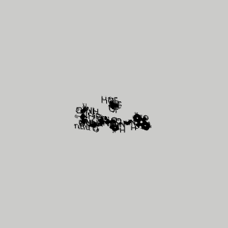 CCCC[C@H](NC(=O)[C@H](C)NC(=O)[C@H](C)N)C(=O)NCC(=O)N[C@@H](CC(C)C)C(=O)N1CCC[C@H]1C(=O)NCCCNc1cccc2c1C(=O)c1ccccc1C2=O.O=C(O)C(F)(F)F